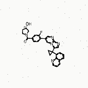 O=C(c1ccc(-c2cnc3ncc(C4(c5cccc6cccnc56)CC4)n3c2)c(F)c1)N1CC[C@H](O)C1